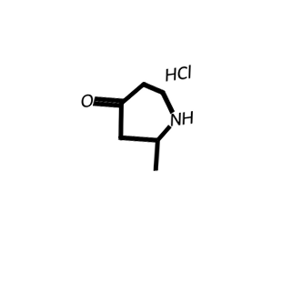 CC1CC(=O)CCN1.Cl